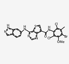 COc1c(Cl)c(NC(=O)c2csc3c(Nc4ccc5cn[nH]c5c4)ncnc23)c(Cl)c(C)c1Br